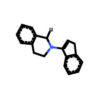 [Li][CH]1c2ccccc2CCN1C1=CCc2ccccc21